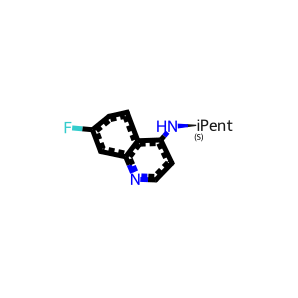 C[CH]C[C@H](C)Nc1ccnc2cc(F)ccc12